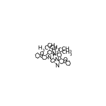 CC(C)(C)c1ccc2c(c1)c1c3oc4ccccc4c3ccc1n2-c1ccc(C#N)c(-n2c3ccc(C(C)(C)C)cc3c3c4oc5ccccc5c4ccc32)c1C#N